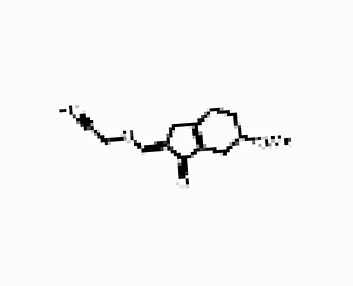 C#CCOC=C1CC2=C(CC(OC)CC2)C1=O